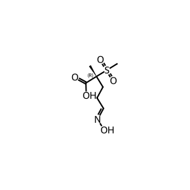 C[C@@](CCC=NO)(C(=O)O)S(C)(=O)=O